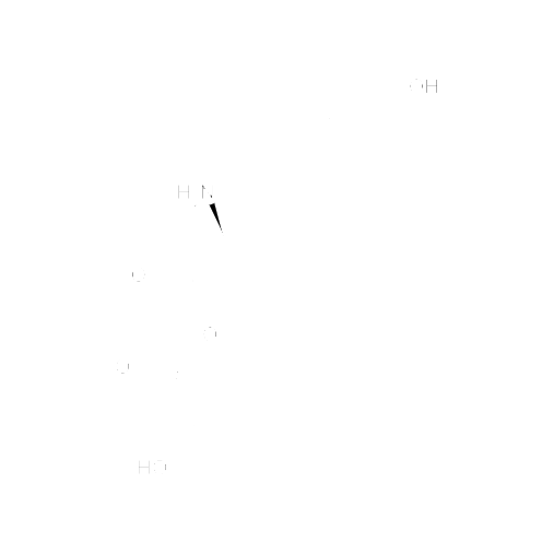 N[C@@H](Cc1ccc(O)cc1)C(=O)OC(=O)CO